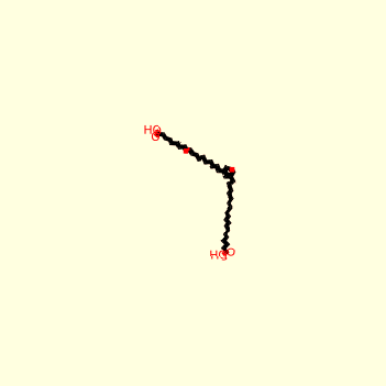 O=C(O)CCCCCCCCCCCCCCCCCCc1cccc(CCCCCCCCCCCCCCCCCCC(=O)O)c1